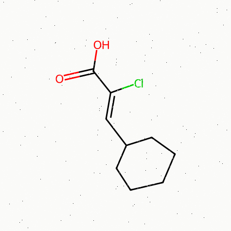 O=C(O)C(Cl)=CC1CCCCC1